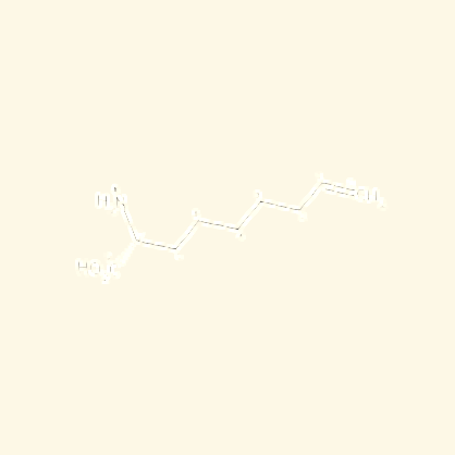 C=CCCCCC[C@@H](N)C(=O)O